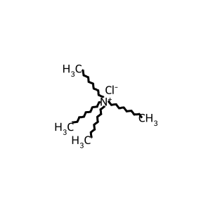 CCCCCCCCCC[N+](CCCCCCCCCC)(CCCCCCCCCC)CCCCCCCCCC.[Cl-]